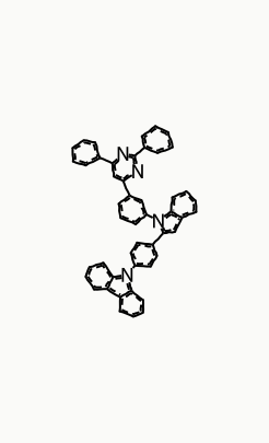 c1ccc(-c2cc(-c3cccc(-n4c(-c5ccc(-n6c7ccccc7c7ccccc76)cc5)cc5ccccc54)c3)nc(-c3ccccc3)n2)cc1